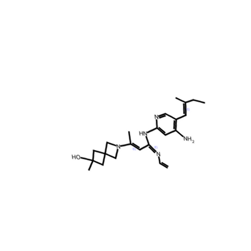 C=C/N=C(\C=C(/C)N1CC2(C1)CC(C)(O)C2)Nc1cc(N)c(/C=C(\C)CC)cn1